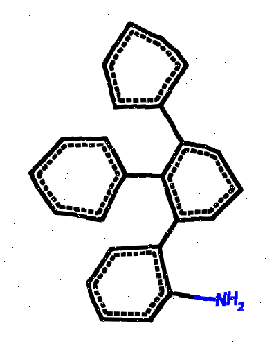 Nc1ccccc1-c1cccc(-c2ccccc2)c1-c1ccccc1